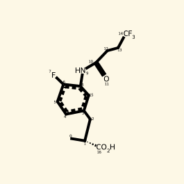 C[C@H](Cc1ccc(F)c(NC(=O)CCC(F)(F)F)c1)C(=O)O